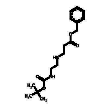 CC(C)(C)OC(=O)NCCNCCC(=O)OCc1ccccc1